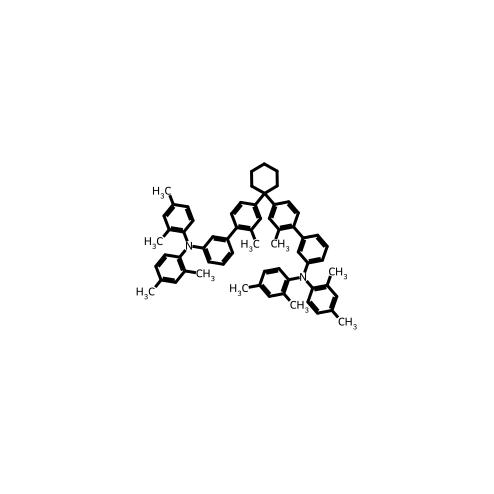 Cc1ccc(N(c2cccc(-c3ccc(C4(c5ccc(-c6cccc(N(c7ccc(C)cc7C)c7ccc(C)cc7C)c6)c(C)c5)CCCCC4)cc3C)c2)c2ccc(C)cc2C)c(C)c1